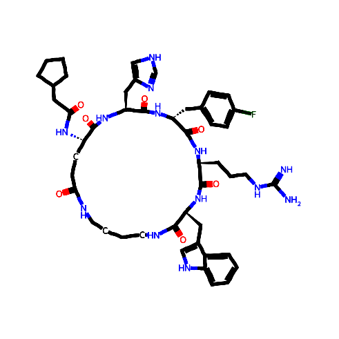 N=C(N)NCCC[C@@H]1NC(=O)[C@@H](Cc2ccc(F)cc2)NC(=O)[C@H](Cc2c[nH]cn2)NC(=O)[C@@H](NC(=O)CC2CCCC2)CCC(=O)NCCCCNC(=O)[C@H](Cc2c[nH]c3ccccc23)NC1=O